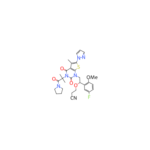 COc1ccc(F)cc1C(Cn1c(=O)n(C(C)(C)C(=O)N2CCCC2)c(=O)c2c(C)c(-n3cccn3)sc21)OCCC#N